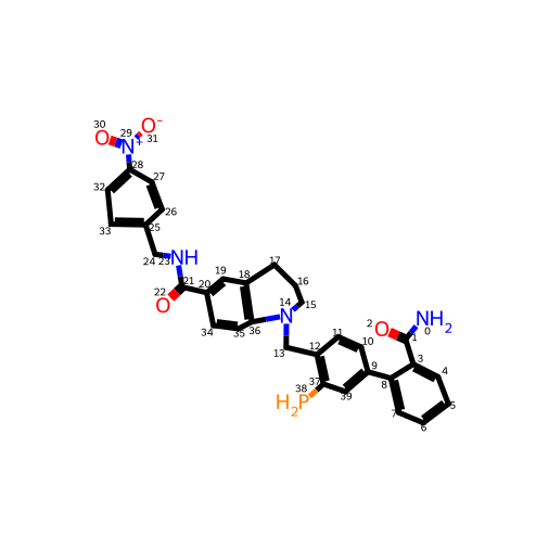 NC(=O)c1ccccc1-c1ccc(CN2CCCc3cc(C(=O)NCc4ccc([N+](=O)[O-])cc4)ccc32)c(P)c1